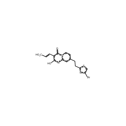 CC(C)c1csc(CCc2ccn3c(=O)c(/C=C/C(=O)O)c(O)nc3c2)n1